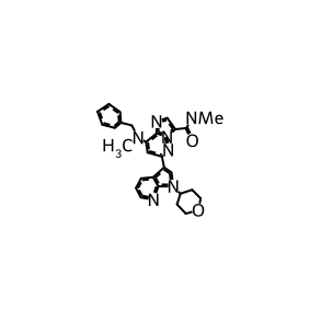 CNC(=O)c1cnc2c(N(C)Cc3ccccc3)cc(-c3cn(C4CCOCC4)c4ncccc34)nn12